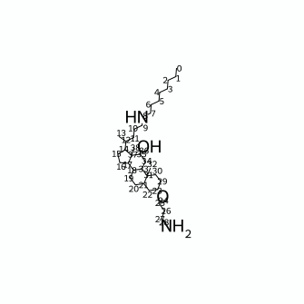 CCCCCCCCNCCCC(C)C1CCC2C3CCC4C[C@H](OCCCN)CCC4(C)C3C[C@H](O)C12C